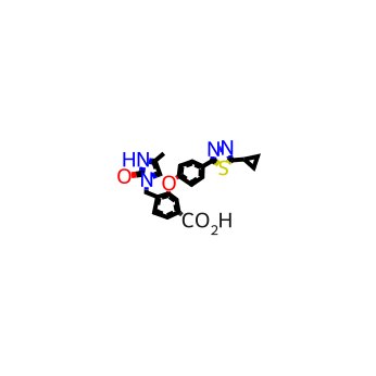 Cc1cn(Cc2ccc(C(=O)O)cc2Oc2ccc(-c3nnc(C4CC4)s3)cc2)c(=O)[nH]1